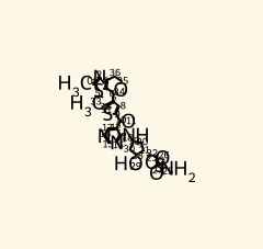 Cc1nc2c(s1)C(c1cc(C(=O)c3cncnc3N[C@@H]3C[C@H](COS(N)(=O)=O)[C@@H](O)C3)sc1C)OCC2